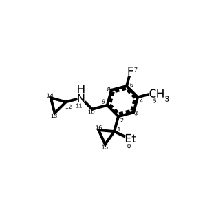 CCC1(c2cc(C)c(F)cc2CNC2CC2)CC1